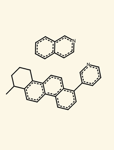 CC1CCCc2c1ccc1c2ccc2c(-c3cccnc3)cccc21.c1ccc2cnccc2c1